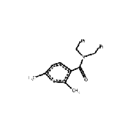 Cc1nc(C(F)(F)F)ccc1C(=O)N(CC(C)C)CC(C)C